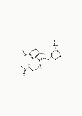 COc1ccc2sc(Cc3cccc(C(F)(F)F)c3)c(C3CC3CNC(C)=O)c2c1